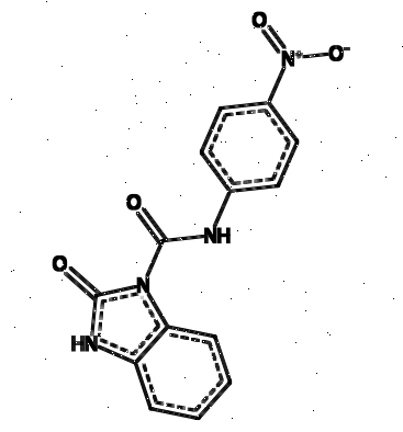 O=C(Nc1ccc([N+](=O)[O-])cc1)n1c(=O)[nH]c2ccccc21